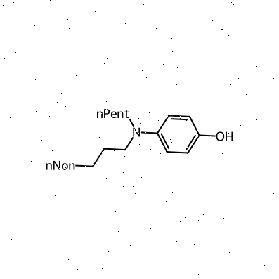 CCCCCCCCCCCCN(CCCCC)c1ccc(O)cc1